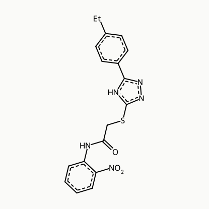 CCc1ccc(-c2nnc(SCC(=O)Nc3ccccc3[N+](=O)[O-])[nH]2)cc1